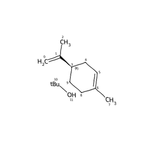 C=C(C)[C@H]1CC=C(C)CC1.CC(C)(C)O